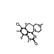 Cc1c(Cl)c2c3c(nc(=O)n(C)c3c1F)N1CCN(C)CC1CS2